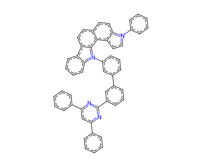 c1ccc(-c2cc(-c3ccccc3)nc(-c3cccc(-c4cccc(-n5c6ccccc6c6ccc7ccc8c(ccn8-c8ccccc8)c7c65)c4)c3)n2)cc1